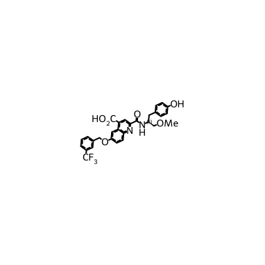 COC[C@H](Cc1ccc(O)cc1)NC(=O)c1cc(C(=O)O)c2cc(OCc3cccc(C(F)(F)F)c3)ccc2n1